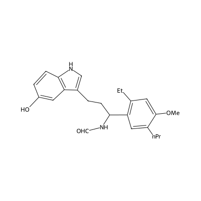 CCCc1cc(C(CCc2c[nH]c3ccc(O)cc23)NC=O)c(CC)cc1OC